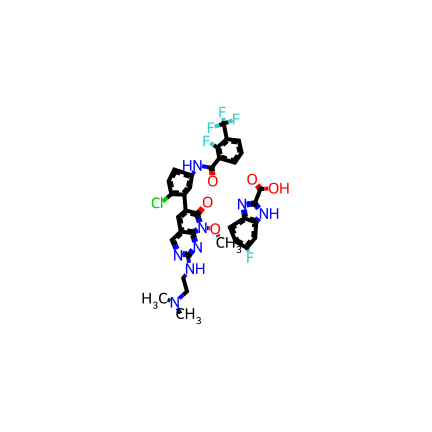 COn1c(=O)c(-c2cc(NC(=O)c3cccc(C(F)(F)F)c3F)ccc2Cl)cc2cnc(NCCN(C)C)nc21.O=C(O)c1nc2ccc(F)cc2[nH]1